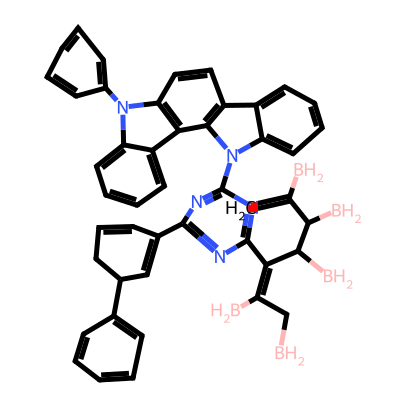 BC/C(B)=C(/c1nc(C2=CC(c3ccccc3)CC=C2)nc(-n2c3ccccc3c3ccc4c(c5ccccc5n4-c4ccccc4)c32)n1)C(B)C(B)C(B)=C